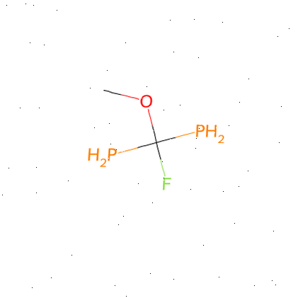 COC(F)(P)P